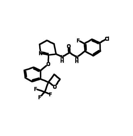 O=C(Nc1ccc(Cl)cc1F)NC1CCCN=C1Oc1ccccc1C1(C(F)(F)F)CCO1